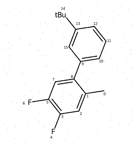 Cc1cc(F)c(F)cc1-c1cccc(C(C)(C)C)c1